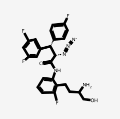 [N-]=[N+]=N[C@H](C(=O)Nc1cccc(F)c1CCC(N)CO)[C@@H](c1ccc(F)cc1)c1cc(F)cc(F)c1